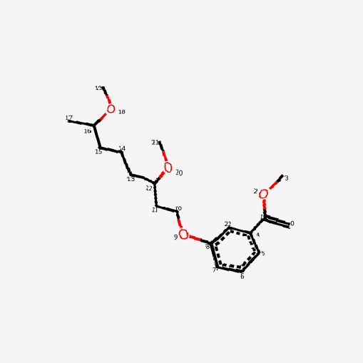 [CH]=C(OC)c1cc[c]c(OCCC(CCCC(C)OC)OC)c1